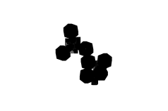 C1=CC(c2cccc(-n3c4ccccc4c4ccc5sc6ccccc6c5c43)c2)=CC(c2nc(-c3ccccc3)nc(-c3ccccc3)n2)C1